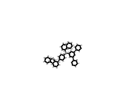 c1ccc(-c2cc(-c3ccccc3)cc(N(c3ccc(-c4cccc5c4sc4ccccc45)cc3)c3cccc4ccccc34)c2)cc1